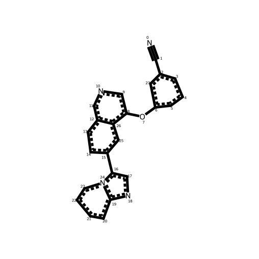 N#Cc1cccc(Oc2cncc3ccc(-c4cnc5ccccn45)cc23)c1